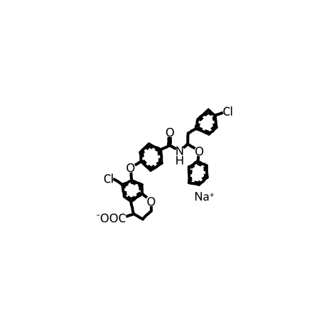 O=C(NC(Cc1ccc(Cl)cc1)Oc1ccccc1)c1ccc(Oc2cc3c(cc2Cl)C(C(=O)[O-])CCO3)cc1.[Na+]